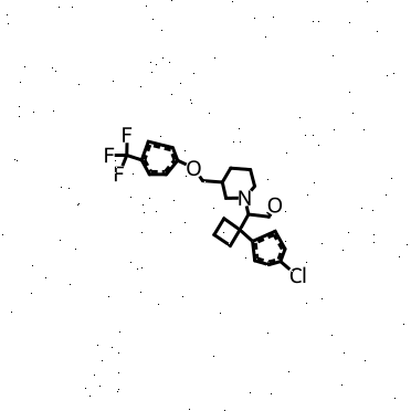 O=CC(N1CCCC(COc2ccc(C(F)(F)F)cc2)C1)C1(c2ccc(Cl)cc2)CCC1